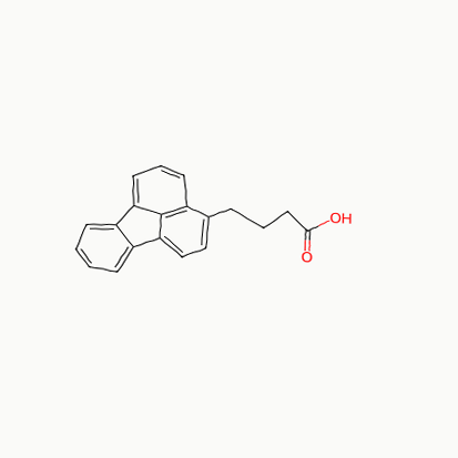 O=C(O)CCCc1ccc2c3c(cccc13)-c1ccccc1-2